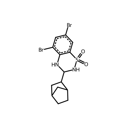 O=S1(=O)NC(C2CC3CCC2C3)Nc2c(Br)cc(Br)cc21